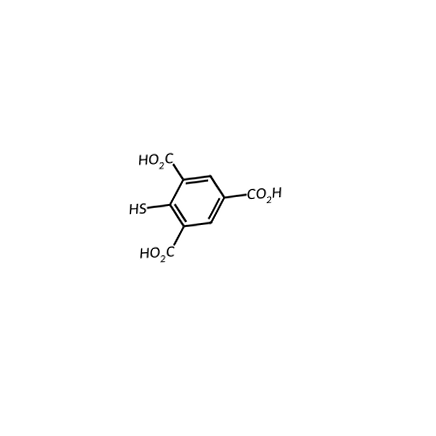 O=C(O)c1cc(C(=O)O)c(S)c(C(=O)O)c1